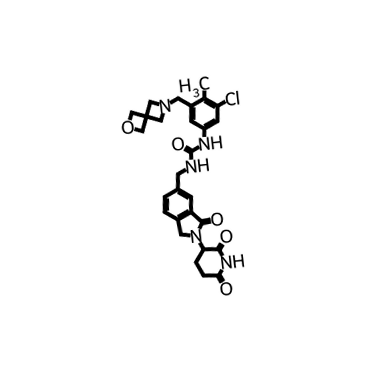 Cc1c(Cl)cc(NC(=O)NCc2ccc3c(c2)C(=O)N(C2CCC(=O)NC2=O)C3)cc1CN1CC2(COC2)C1